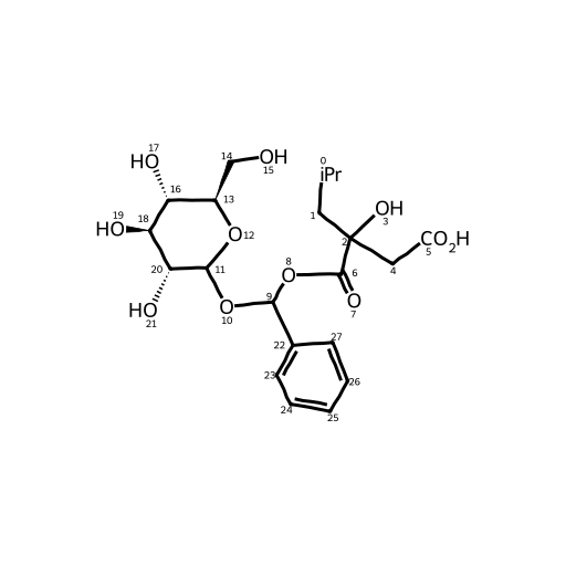 CC(C)CC(O)(CC(=O)O)C(=O)OC(OC1O[C@H](CO)[C@@H](O)[C@H](O)[C@H]1O)c1ccccc1